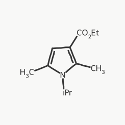 CCOC(=O)c1cc(C)n(C(C)C)c1C